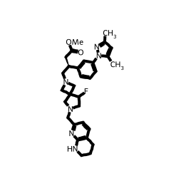 COC(=O)C[C@H](CN1CC2(CN(Cc3ccc4c(n3)NCCC4)CC2F)C1)c1cccc(-n2nc(C)cc2C)c1